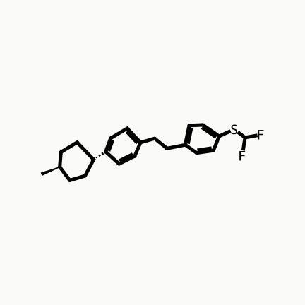 C[C@H]1CC[C@H](c2ccc(CCc3ccc(SC(F)F)cc3)cc2)CC1